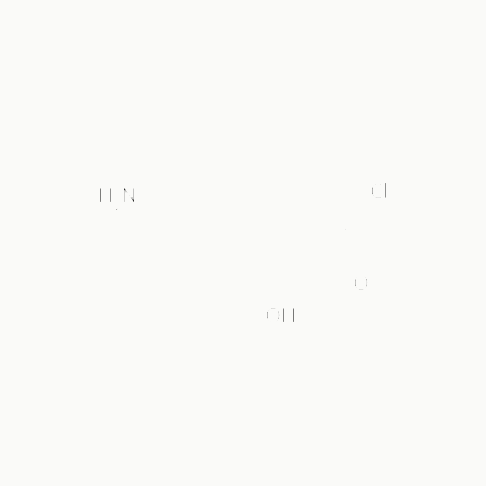 Nc1ccc(C(=O)Cl)c(O)c1